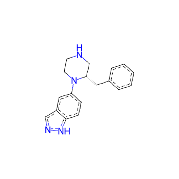 c1ccc(C[C@H]2CNCCN2c2ccc3[nH]ncc3c2)cc1